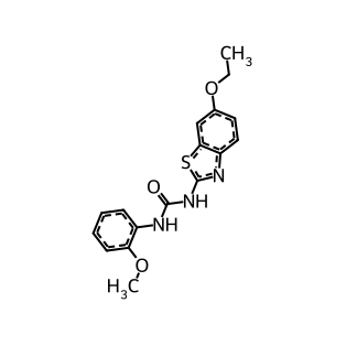 CCOc1ccc2nc(NC(=O)Nc3ccccc3OC)sc2c1